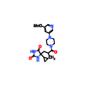 COc1cncc(N2CCN(C(=O)C(C)CC3(C4CC4)NC(=O)NC3=O)CC2)c1